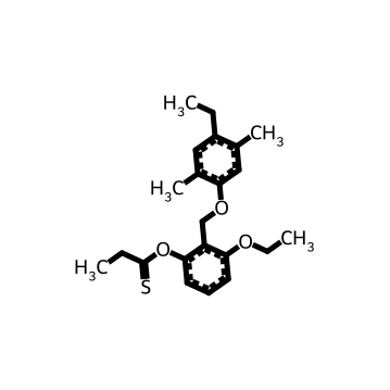 CCOc1cccc(OC(=S)CC)c1COc1cc(C)c(CC)cc1C